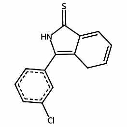 S=C1NC(c2cccc(Cl)c2)=C2CC=CC=C12